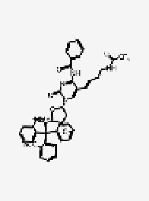 COc1ccccc1C(c1ccccc1)(c1ccccc1OC)C(O)[C@H]1O[C@@H](n2cc(/C=C/CCNC(=O)C(F)(F)F)c(NC(=O)c3ccccc3)nc2=O)C[C@@H]1O